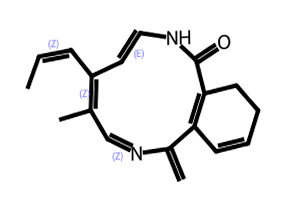 C=C1\N=C/C(C)=C(/C=C\C)\C=C\NC(=O)C2=C1C=CCC2